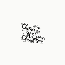 c1ccc(-c2cc(-n3c4ccccc4c4cnc5c(ccc6c7ccccc7sc65)c43)cc(-c3ccccc3)n2)cc1